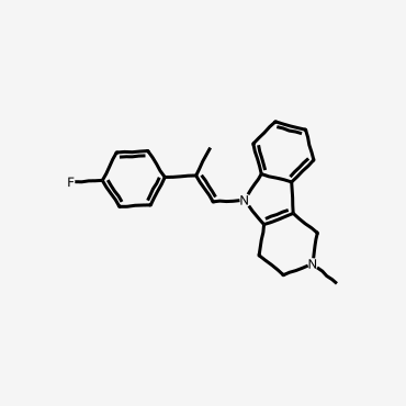 CC(=Cn1c2c(c3ccccc31)CN(C)CC2)c1ccc(F)cc1